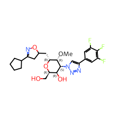 CO[C@@H]1[C@@H](n2cc(-c3cc(F)c(F)c(F)c3)nn2)[C@@H](O)[C@@H](CO)O[C@@H]1CC1CC(C2CCCC2)=NO1